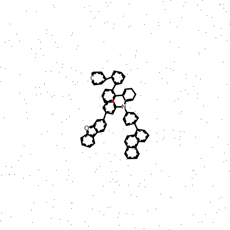 C1=C(c2ccccc2-c2ccccc2-c2ccccc2)C(N(c2ccc(-c3cccc4c3ccc3ccccc34)cc2)c2cccc(-c3ccc4c(c3)oc3ccccc34)c2)=CCC1